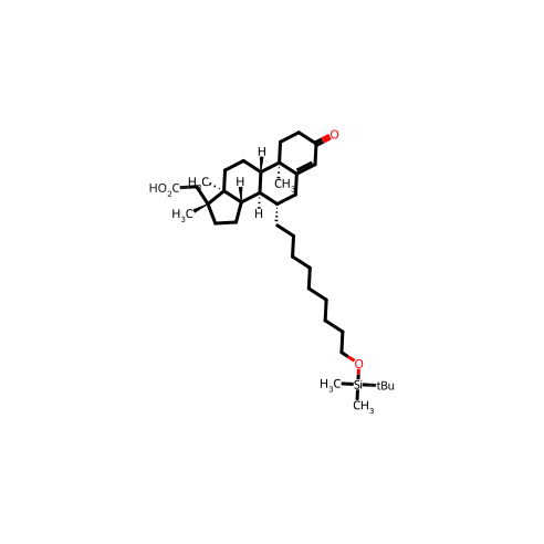 CC(C)(C)[Si](C)(C)OCCCCCCCCC[C@H]1CC2=CC(=O)CC[C@]2(C)[C@H]2CC[C@@]3(C)[C@@H](CC[C@]3(C)CC(=O)O)[C@H]12